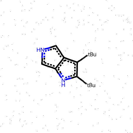 CC(C)(C)c1[nH]c2c[nH]cc2c1C(C)(C)C